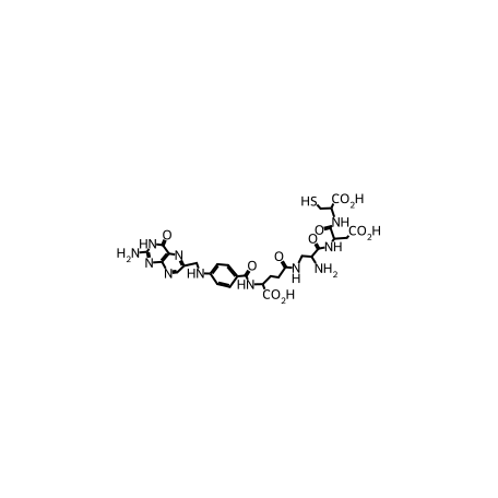 Nc1nc2ncc(CNc3ccc(C(=O)NC(CCC(=O)NCC(N)C(=O)NC(CC(=O)O)C(=O)NC(CS)C(=O)O)C(=O)O)cc3)nc2c(=O)[nH]1